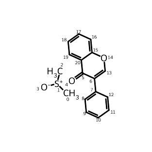 C[S+](C)[O-].O=c1c(-c2ccccc2)coc2ccccc12